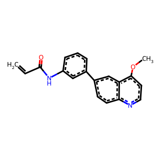 C=CC(=O)Nc1cccc(-c2ccc3nccc(OC)c3c2)c1